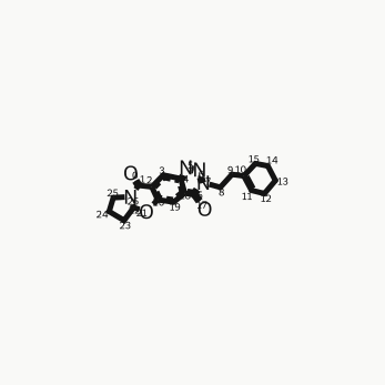 O=C1c2cc3nnn(CCC4=CCCCC4)c(=O)c3cc2OC2CCCN12